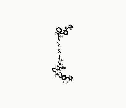 Cc1ncsc1-c1ccc(CNC(=O)[C@@H]2CCCN2C(=O)C(NC(=O)CNCCOCCOCCOCCNC(=O)C2(Cc3cccc(Nc4nccs4)n3)CCCCC2)C(C)(C)C)cc1